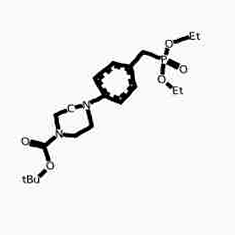 CCOP(=O)(Cc1ccc(N2CCN(C(=O)OC(C)(C)C)CC2)cc1)OCC